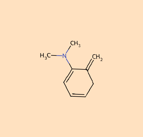 C=C1CC=CC=C1N(C)C